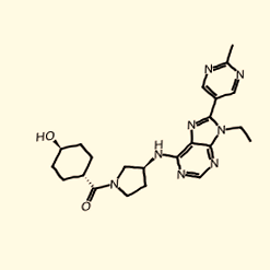 CCn1c(-c2cnc(C)nc2)nc2c(N[C@H]3CCN(C(=O)[C@H]4CC[C@H](O)CC4)C3)ncnc21